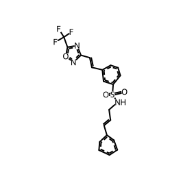 O=S(=O)(NCC=Cc1ccccc1)c1cccc(C=Cc2noc(C(F)(F)F)n2)c1